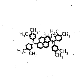 CC1=C(C)CCC(N(c2ccc(C)c(C)c2)C2C=Cc3ccc4c(N(c5ccc(C)c(C)c5)C5C=CC(C)=C(C)C5C)ccc5c4c3C2C=C5)=C1